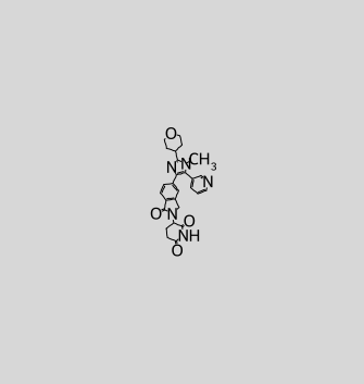 Cn1c(C2CCOCC2)nc(-c2ccc3c(c2)CN(C2CCC(=O)NC2=O)C3=O)c1-c1cccnc1